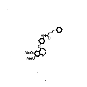 COc1cc2c(cc1OC)=C(Oc1ccc(NC(=O)CCCc3ccccc3)cn1)C=CCN=2